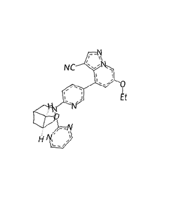 CCOc1cc(-c2ccc(N3CC4C[C@H](C3)[C@@H]4Oc3ncccn3)nc2)c2c(C#N)cnn2c1